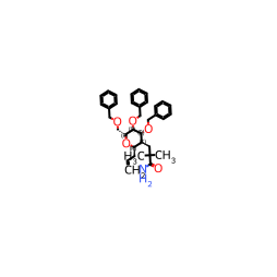 C=CC[C@H]1O[C@H](COCc2ccccc2)[C@@H](OCc2ccccc2)[C@H](OCc2ccccc2)[C@H]1CC(C)(C)C(N)=O